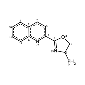 PC1COC(c2ccc3ccccc3n2)=N1